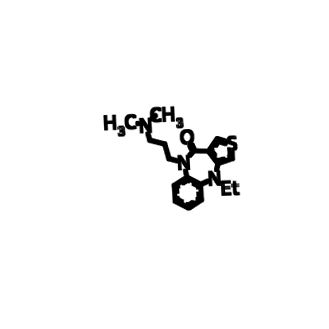 CCN1c2cscc2C(=O)N(CCCN(C)C)c2ccccc21